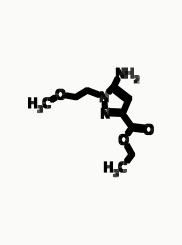 CCOC(=O)c1cc(N)n(CCOC)n1